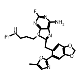 Cc1cnc(-c2cc3c(cc2Cc2nc4c(N)nc(F)nc4n2CCCNC(C)C)OCO3)o1